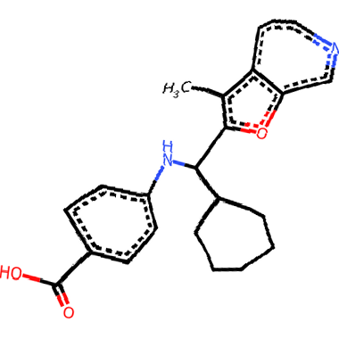 Cc1c(C(Nc2ccc(C(=O)O)cc2)C2CCCCC2)oc2cnccc12